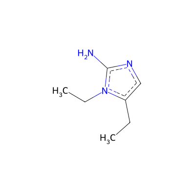 CCc1cnc(N)n1CC